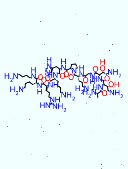 CC(N)C(=O)N[C@H](C(=O)NC(C(=O)NCC(=O)N[C@H](CCCN)C(=O)N1CCCC1C(=O)NC(Cc1cnc[nH]1)C(=O)N[C@@H](CCCCN)C(=O)N/C(=C\CCNC(=N)N)C(=O)N[C@@H](CCCCN)C(=O)NCCCCN)[C@@H](O)CN)[C@@H](O)CN